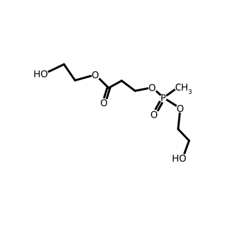 CP(=O)(OCCO)OCCC(=O)OCCO